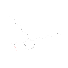 CCCCCCc1cccc(OC(=O)O)c1CCCCCC